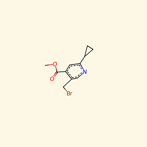 COC(=O)c1cc(C2CC2)ncc1CBr